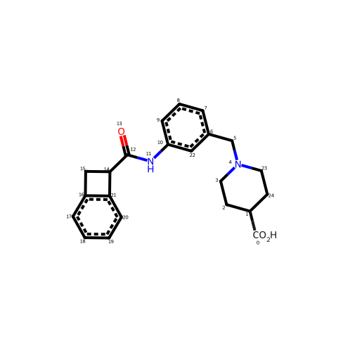 O=C(O)C1CCN(Cc2cccc(NC(=O)C3Cc4ccccc43)c2)CC1